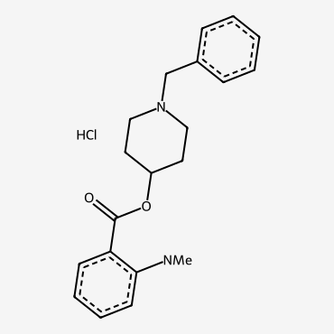 CNc1ccccc1C(=O)OC1CCN(Cc2ccccc2)CC1.Cl